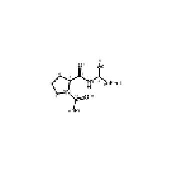 CCCCCC(NC(=O)C1CCCN1C(=O)CCC)C(C)=O